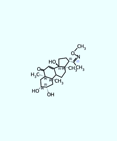 CO/N=C(/C)[C@H]1CC[C@@]2(O)C3=CC(=O)[C@]4(C)C[C@@H](O)[C@@H](O)C[C@]4(C)C3CC[C@]12C